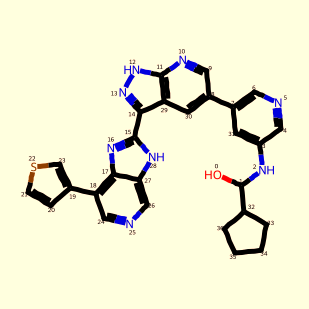 OC(Nc1cncc(-c2cnc3[nH]nc(-c4nc5c(-c6ccsc6)cncc5[nH]4)c3c2)c1)C1CCCC1